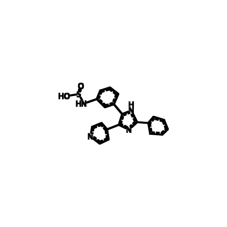 O=S(O)Nc1cccc(-c2[nH]c(-c3ccccc3)nc2-c2ccncc2)c1